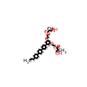 C=C(CO)C(=O)OCCOc1cc(OCCOC(=O)C(C)CO)cc(-c2ccc(C3CCC(C4CCC(CCC)CC4)CC3)cc2)c1